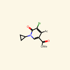 COC(=O)c1cn(C2CC2)c(=O)c(Br)c1C(C)=O